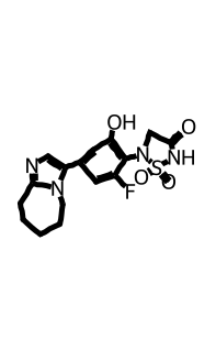 O=C1CN(c2c(O)cc(-c3cnc4n3CCCCC4)cc2F)S(=O)(=O)N1